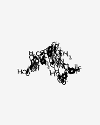 CC1COc2ccccc2N1C(=O)C(Cl)Cl.CCNc1nc(Cl)nc(NC(C)(C)C)n1.CCc1cccc(C)c1N(C(=O)CCl)C(C)COC.O=C(O)CNCP(=O)(O)O.O=C(O)c1cc(Oc2ccc(C(F)(F)F)cc2Cl)ccc1[N+](=O)[O-]